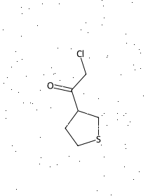 O=C(CCl)C1CCSC1